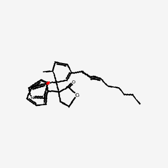 CCCCCC=CCC1=CC(n2ccnc2)(C2(c3ccccc3)CCOC2=O)C(C)C=C1